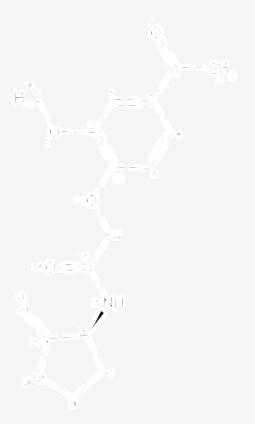 COc1cc(C(C)=O)ccc1OCC(=O)N[C@H]1CCOC1=O